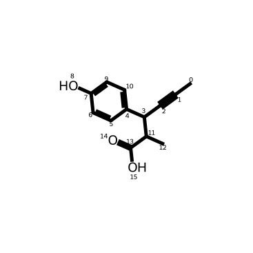 CC#CC(c1ccc(O)cc1)C(C)C(=O)O